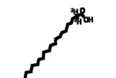 [2H]C([2H])(CCCCCCCCCCCCCCCCCC)C(=O)O